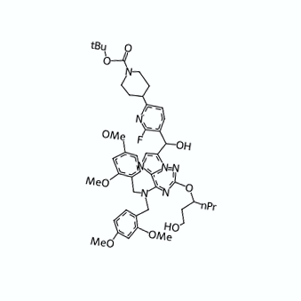 CCCC(CCO)Oc1nc(N(Cc2ccc(OC)cc2OC)Cc2ccc(OC)cc2OC)c2ncc(C(O)c3ccc(C4CCN(C(=O)OC(C)(C)C)CC4)nc3F)n2n1